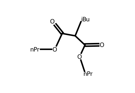 CCCOC(=O)C(C(=O)OCCC)C(C)CC